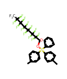 Cc1ccc(S(OC(=O)C(F)(F)C(F)(F)C(F)(F)C(F)(F)C(F)(F)C(F)(F)C(F)(F)F)(c2ccccc2)c2ccc(C)cc2)cc1